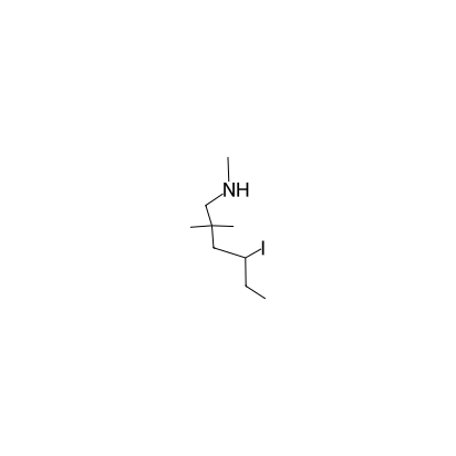 CCC(I)CC(C)(C)CNC